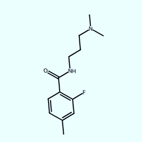 Cc1ccc(C(=O)NCCCN(C)C)c(F)c1